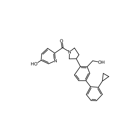 O=C(c1ccc(O)cn1)N1CCC(c2ccc(-c3ccccc3C3CC3)cc2CO)C1